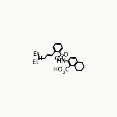 CCN(CC)CC=Cc1ccccc1S(=O)(=O)Nc1ccc2c(c1C(=O)O)CCCC2